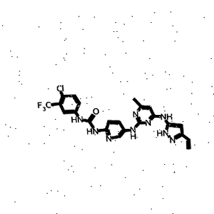 C=Cc1cc(Nc2cc(C)nc(Nc3ccc(NC(=O)Nc4ccc(Cl)c(C(F)(F)F)c4)nc3)n2)[nH]n1